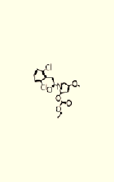 CCOC(=O)OC1CC(OC)CN1C(=O)Cc1c(Cl)cccc1Cl